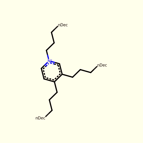 CCCCCCCCCCCCCc1cc[n+](CCCCCCCCCCCCC)cc1CCCCCCCCCCCCC